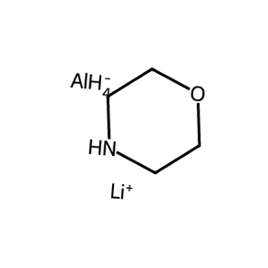 C1COCCN1.[AlH4-].[Li+]